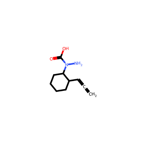 C=C=C[C]1CCCCC1N(N)C(=O)O